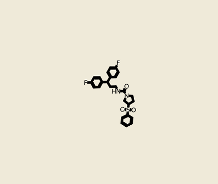 O=C(NCCC(c1ccc(F)cc1)c1ccc(F)cc1)N1CCC(S(=O)(=O)c2ccccc2)C1